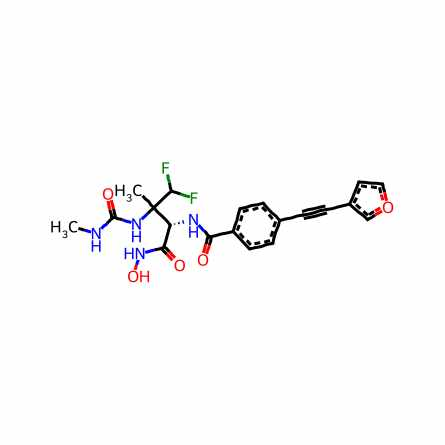 CNC(=O)NC(C)(C(F)F)[C@H](NC(=O)c1ccc(C#Cc2ccoc2)cc1)C(=O)NO